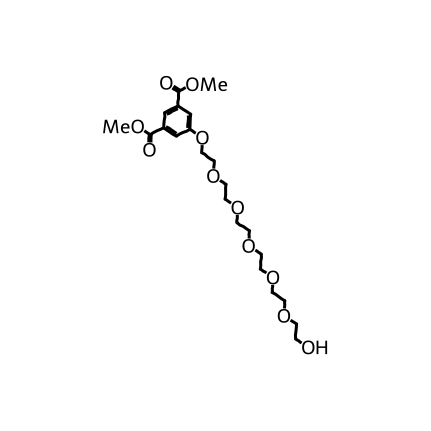 COC(=O)c1cc(OCCOCCOCCOCCOCCOCCO)cc(C(=O)OC)c1